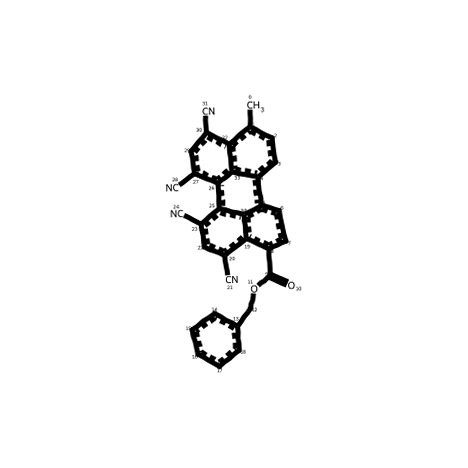 Cc1ccc2c3ccc(C(=O)OCc4ccccc4)c4c(C#N)cc(C#N)c(c5c(C#N)cc(C#N)c1c25)c43